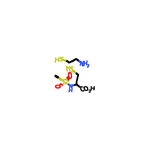 CS(=O)(=O)NC(CS)C(=O)O.NCCS